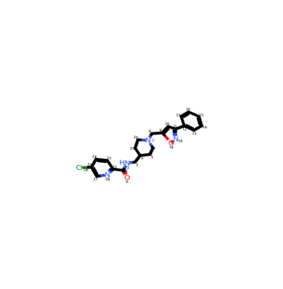 O=C(NCC1CCN(Cc2cc(-c3ccccc3)no2)CC1)c1ccc(Cl)cn1